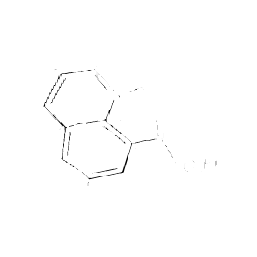 CCOC(=O)Nc1cccc2ccc[n+]([O-])c12